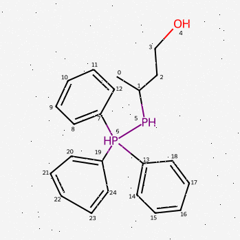 CC(CCO)P[PH](c1ccccc1)(c1ccccc1)c1ccccc1